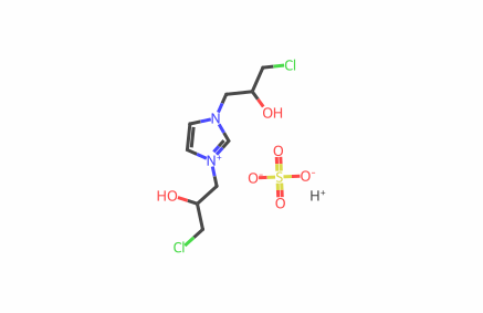 O=S(=O)([O-])[O-].OC(CCl)Cn1cc[n+](CC(O)CCl)c1.[H+]